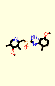 COc1ccc(C)c(/N=C(\N)[S+]([O-])Cc2ncc(C)c(OC)c2C)c1